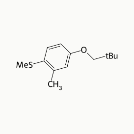 CSc1ccc(OCC(C)(C)C)cc1C